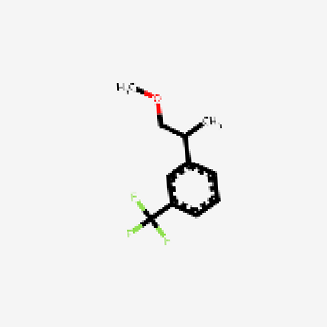 COCC(C)c1cccc(C(F)(F)F)c1